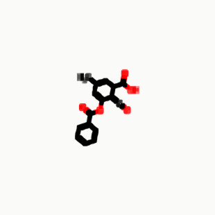 CC1=CC(C(=O)O)C(=C=O)C(OC(=O)c2ccccc2)=C1